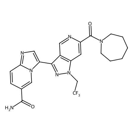 NC(=O)c1ccc2ncc(-c3nn(CC(F)(F)F)c4cc(C(=O)N5CCCCCC5)ncc34)n2c1